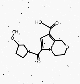 COC1CCN(C(=O)c2cc(C(=O)O)c3n2CCOC3)C1